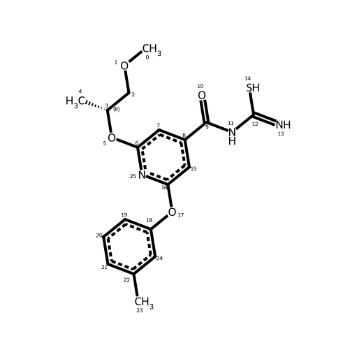 COC[C@@H](C)Oc1cc(C(=O)NC(=N)S)cc(Oc2cccc(C)c2)n1